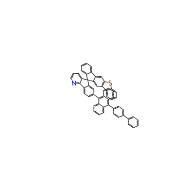 c1ccc(-c2ccc(-c3c4ccccc4c(-c4ccc5c(c4)C4(c6ccccc6-c6cc7sc8ccccc8c7cc64)c4cccnc4-5)c4ccccc34)cc2)cc1